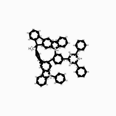 CC12c3ccc4c(cc5c(c4c3)c3ccccc3n5-c3ccccc3)-c3ccc(-c4nc(-c5ccccc5)nc(-c5ccccc5)n4)cc3-n3c4ccccc4c4cc(c1cc43)-c1ccccc12